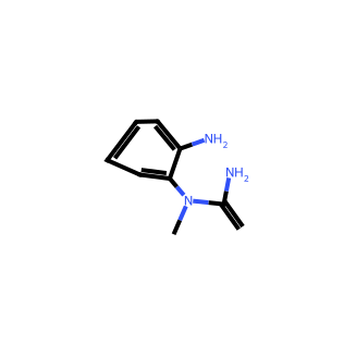 C=C(N)N(C)c1ccccc1N